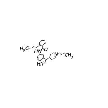 CCCCc1ccccc1C(=O)Nc1ccc2[nH]cc(C3CCN(CCCC)CC3)c2c1